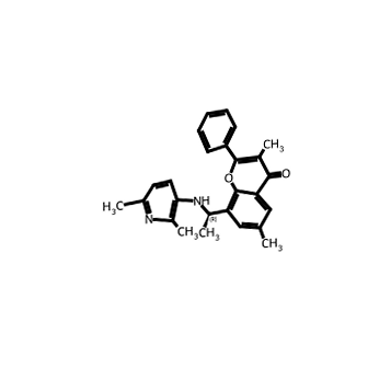 Cc1cc([C@@H](C)Nc2ccc(C)nc2C)c2oc(-c3ccccc3)c(C)c(=O)c2c1